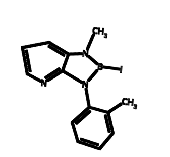 Cc1ccccc1N1B(I)N(C)c2cccnc21